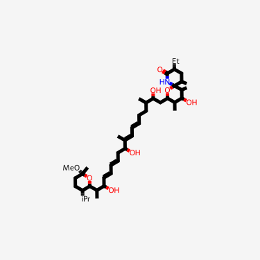 CCC1CC(C)C2(NC1=O)OC(CC(O)C(C)CC/C=C/C=C(\C)C(O)C/C=C/C=C/C(O)C(C)C1OC(C)(OC)CCC1C(C)C)C(C)C(O)C2C